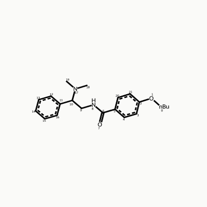 CCCCOc1ccc(C(=O)NCC(c2ccccc2)N(C)C)cc1